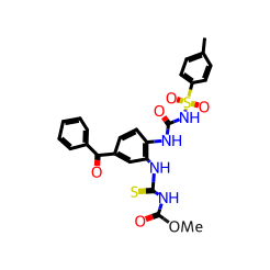 COC(=O)NC(=S)Nc1cc(C(=O)c2ccccc2)ccc1NC(=O)NS(=O)(=O)c1ccc(C)cc1